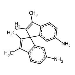 CC1=C(C)C2(C(C)=C(C)c3ccc(N)cc32)c2cc(N)ccc21